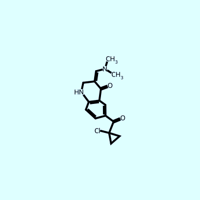 CN(C)C=C1CNc2ccc(C(=O)C3(Cl)CC3)cc2C1=O